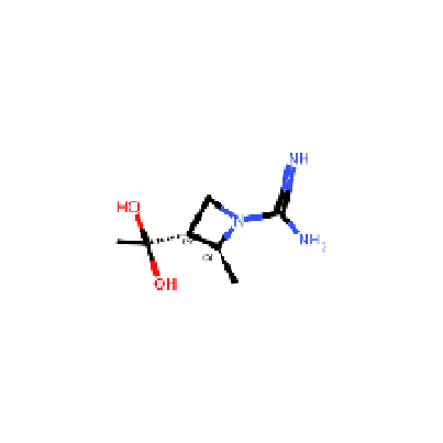 C[C@H]1[C@H](C(C)(O)O)CN1C(=N)N